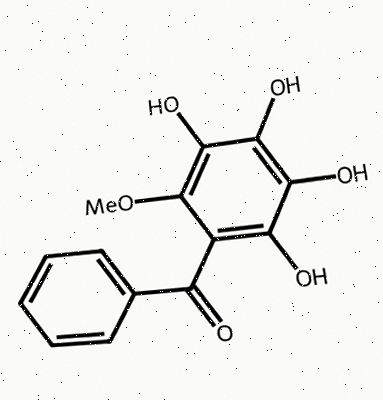 COc1c(O)c(O)c(O)c(O)c1C(=O)c1ccccc1